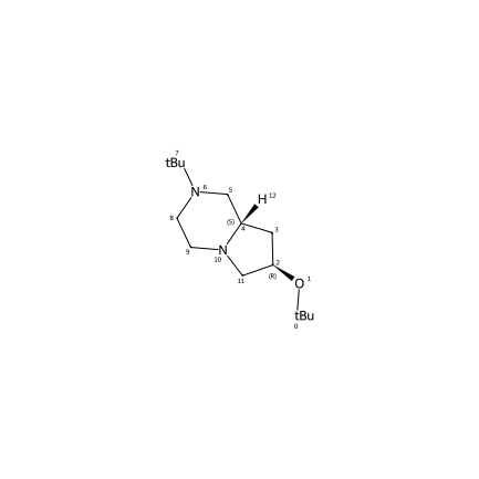 CC(C)(C)O[C@@H]1C[C@H]2CN(C(C)(C)C)CCN2C1